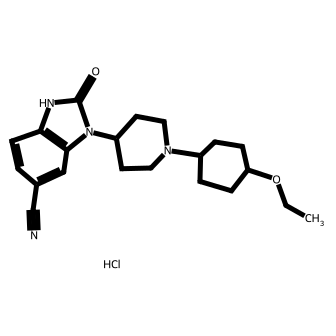 CCOC1CCC(N2CCC(n3c(=O)[nH]c4ccc(C#N)cc43)CC2)CC1.Cl